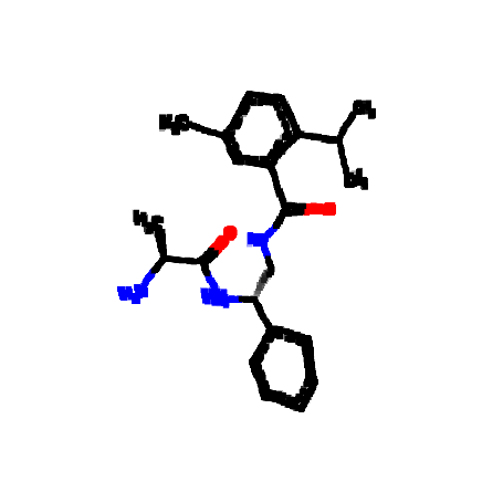 Cc1ccc(C(C)C)c(C(=O)NC[C@@H](NC(=O)[C@H](C)N)c2ccccc2)c1